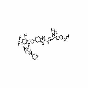 C=C(SCC(N)C(=O)O)c1nc2ccc(OCc3c(F)c(F)c(F)c(CN4CCN(c5ccccc5)CC4)c3F)cc2s1